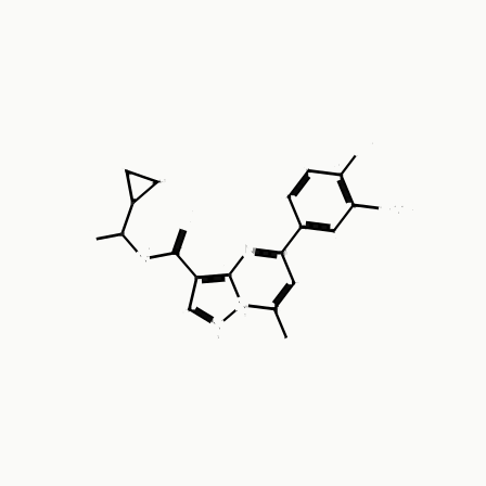 COc1cc(-c2cc(C)n3ncc(C(=O)NC(C4CC4)C(F)(F)F)c3n2)ccc1F